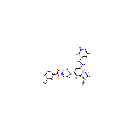 N#Cc1cccc(S(=O)(=O)N2CCC(c3cc(NCc4cccnc4)n4ncc(Br)c4n3)CC2)c1